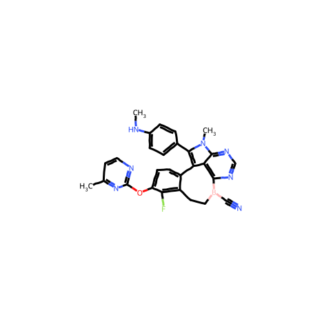 CNc1ccc(-c2c3c4c(ncnc4n2C)B(C#N)CCc2c-3ccc(Oc3nccc(C)n3)c2F)cc1